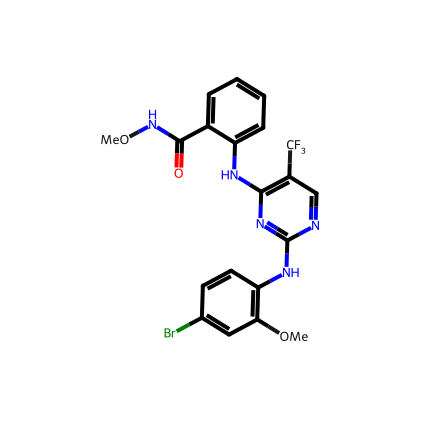 CONC(=O)c1ccccc1Nc1nc(Nc2ccc(Br)cc2OC)ncc1C(F)(F)F